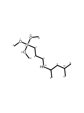 CO[Si](CCCNC(C)CC(C)C)(OC)OC